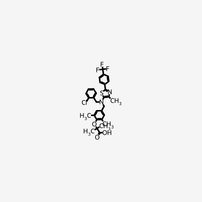 Cc1cc(CN(Cc2ccccc2Cl)c2sc(-c3ccc(C(F)(F)F)cc3)nc2C)cc(C)c1OC(C)(C)C(=O)O